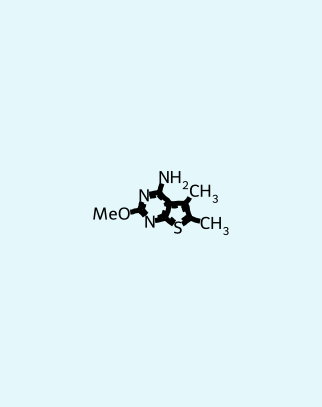 COc1nc(N)c2c(C)c(C)sc2n1